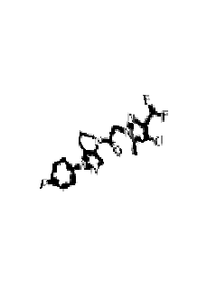 Cc1c(Cl)c(C(F)F)nn1CC(=O)N1CCCc2c1cnn2-c1ccc(F)cc1